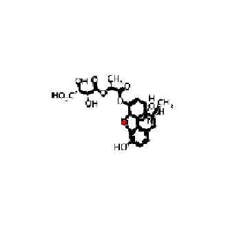 C[C@H](OC(=O)[C@H](O)[C@@H](O)C(=O)O)C(=O)OC1=CC[C@@]2(O)[C@H]3Cc4ccc(O)c5c4[C@@]2(CCN3C)[C@H]1O5